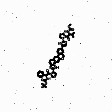 COC(=O)N[C@H](C(=O)N1[C@@H](C)CC[C@H]1c1ncc(-c2ccc3c(c2)COc2cc4c(ccc5nc([C@@H]6CCCN6C(=O)[C@H](NC(=O)OC(C)(C)C)c6ccccc6)[nH]c54)cc2-3)[nH]1)C(C)C